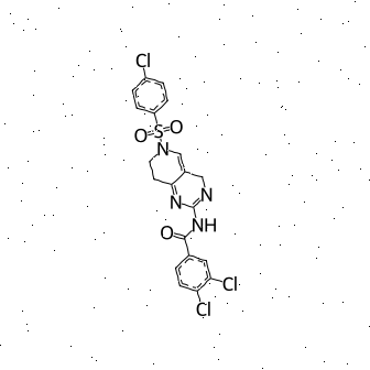 O=C(NC1=NCC2=CN(S(=O)(=O)c3ccc(Cl)cc3)CCC2=N1)c1ccc(Cl)c(Cl)c1